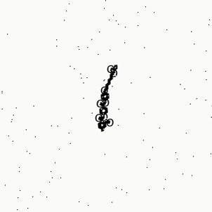 C=CC(=O)OCCCCCCOc1ccc(OC(=O)[C@H]2CC[C@H](OC(=O)c3ccc(C)cc3C=O)CC2)cc1